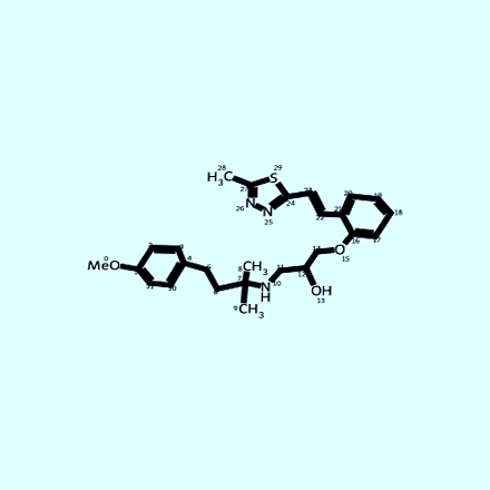 COc1ccc(CCC(C)(C)NCC(O)COc2ccccc2C=Cc2nnc(C)s2)cc1